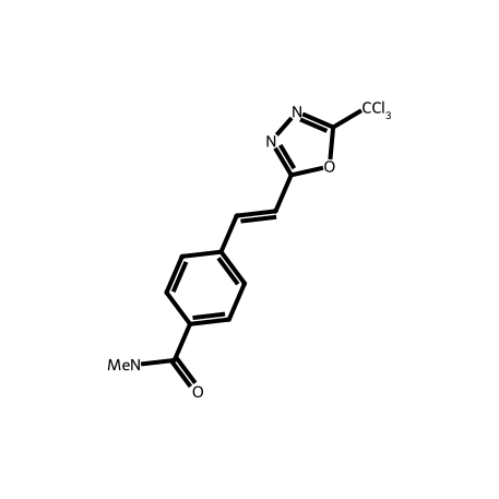 CNC(=O)c1ccc(C=Cc2nnc(C(Cl)(Cl)Cl)o2)cc1